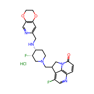 Cl.O=c1ccc2ncc(F)c3c2n1CC3CN1CC[C@@H](NCc2cc3c(cn2)OCCO3)[C@@H](F)C1